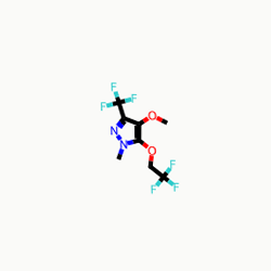 COc1c(C(F)(F)F)nn(C)c1OCC(F)(F)F